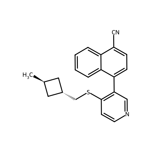 C[C@H]1C[C@H](CSc2ccncc2-c2ccc(C#N)c3ccccc23)C1